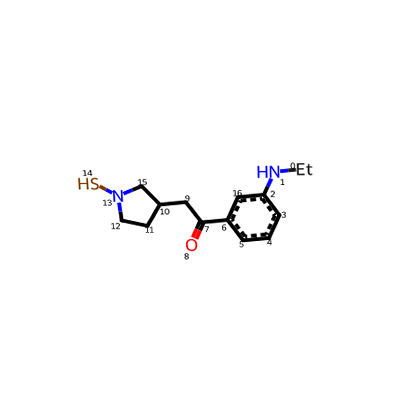 CCNc1cccc(C(=O)CC2CCN(S)C2)c1